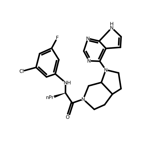 CCC[C@@H](Nc1cc(F)cc(Cl)c1)C(=O)N1CCC2CCN(c3ncnc4[nH]ccc34)C2C1